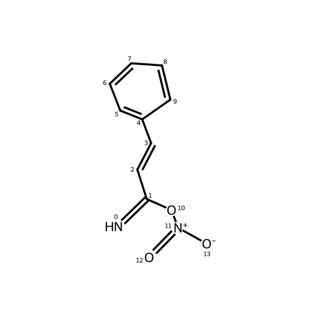 N=C(/C=C/c1ccccc1)O[N+](=O)[O-]